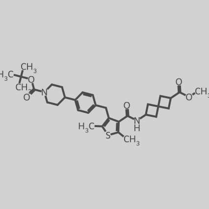 COC(=O)C1CC2(CC(NC(=O)c3c(C)sc(C)c3Cc3ccc(C4CCN(C(=O)OC(C)(C)C)CC4)cc3)C2)C1